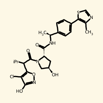 Cc1ncsc1-c1ccc([C@H](C)NC(=O)[C@@H]2C[C@@H](O)CN2C(=O)C(c2onc(O)c2Cl)C(C)C)cc1